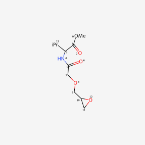 COC(=O)C(NC(=O)COCC1CO1)C(C)C